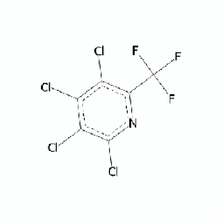 FC(F)(F)c1nc(Cl)c(Cl)c(Cl)c1Cl